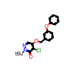 CC(C)(C)n1ncc(OCc2cccc(Oc3ccccc3)c2)c(Cl)c1=O